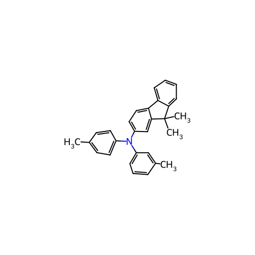 Cc1ccc(N(c2cccc(C)c2)c2ccc3c(c2)C(C)(C)c2ccccc2-3)cc1